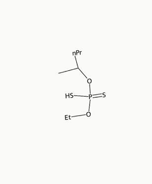 CCCC(C)OP(=S)(S)OCC